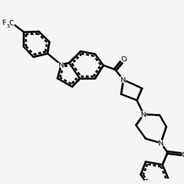 O=C(c1ccccc1)N1CCN(C2CN(C(=O)c3ccc4c(ccn4-c4ccc(C(F)(F)F)cc4)c3)C2)CC1